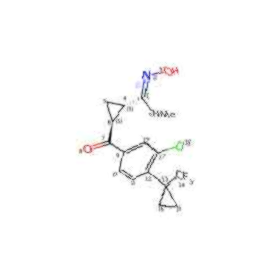 CN/C(=N\O)[C@H]1C[C@@H]1C(=O)c1ccc(C2(C(F)(F)F)CC2)c(Cl)c1